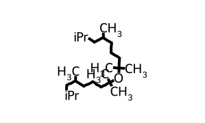 CC(C)CC(C)CCCC(C)(C)OC(C)(C)CCCC(C)CC(C)C